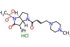 CC(C)[C@H]1C(=O)N(S(C)(=O)=O)[C@H]2CCN(C(=O)/C=C/CN3CCN(C)CC3)[C@H]12.Cl